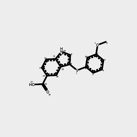 COc1cccc(Sc2c[nH]c3ccc(C(=O)O)cc23)c1